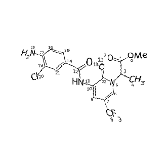 COC(=O)C(C)n1cc(C(F)(F)F)cc(NC(=O)c2ccc(N)c(Cl)c2)c1=O